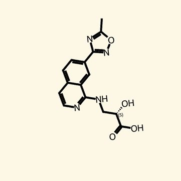 Cc1nc(-c2ccc3ccnc(NC[C@H](O)C(=O)O)c3c2)no1